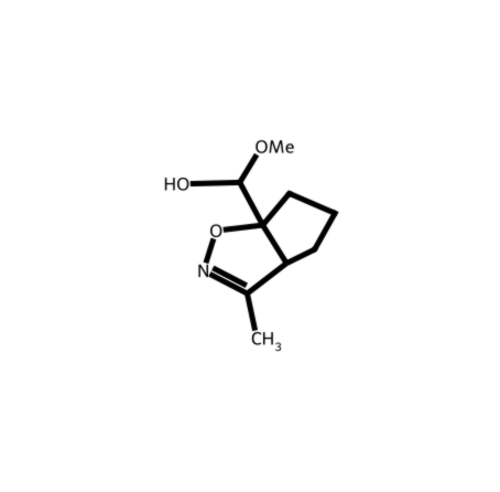 COC(O)C12CCCC1C(C)=NO2